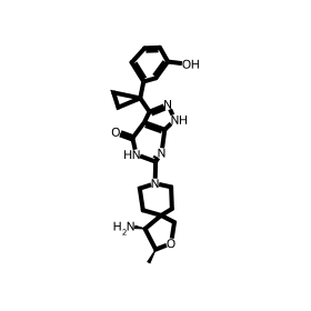 C[C@@H]1OCC2(CCN(c3nc4[nH]nc(C5(c6cccc(O)c6)CC5)c4c(=O)[nH]3)CC2)[C@@H]1N